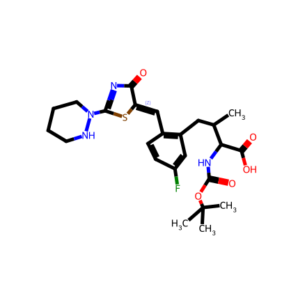 CC(Cc1cc(F)ccc1/C=C1\SC(N2CCCCN2)=NC1=O)C(NC(=O)OC(C)(C)C)C(=O)O